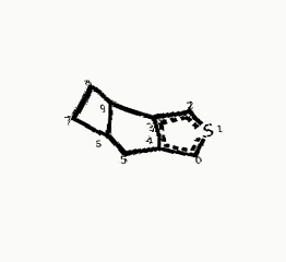 c1scc2c1CC1CCC21